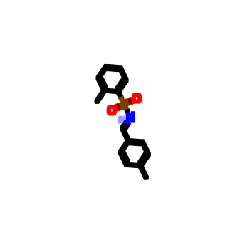 Cc1ccc(/C=N/S(=O)(=O)c2ccccc2C)cc1